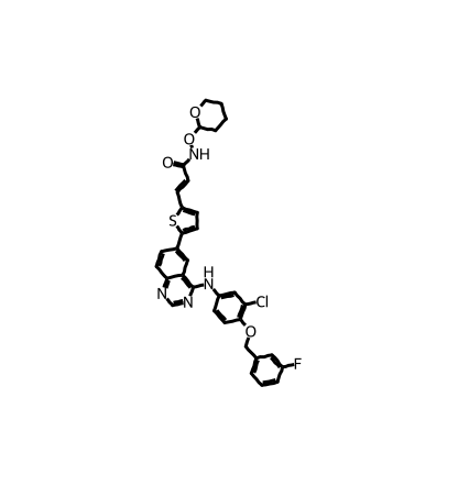 O=C(C=Cc1ccc(-c2ccc3ncnc(Nc4ccc(OCc5cccc(F)c5)c(Cl)c4)c3c2)s1)NOC1CCCCO1